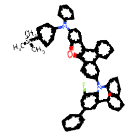 C[Si](C)(C)c1ccc(N(c2ccccc2)c2ccc3c(c2)oc2c4ccc(N(c5ccccc5)c5c(F)cc(-c6ccccc6)cc5-c5ccccc5)cc4c4ccccc4c32)cc1